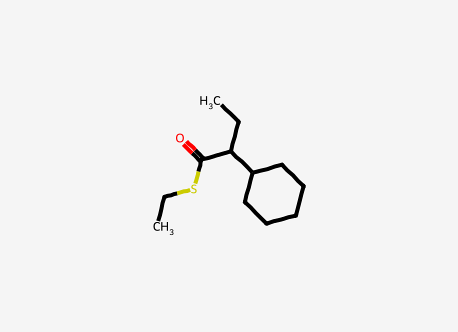 CCSC(=O)C(CC)C1CCCCC1